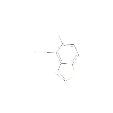 O=C(O)c1c(Cl)ccc2scnc12